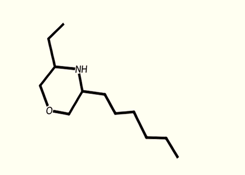 CCCCCCC1COCC(CC)N1